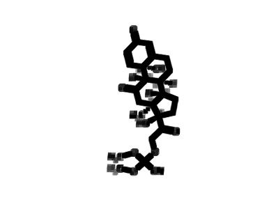 COC(O)(OC)OCC(=O)[C@@]1(O)CC[C@H]2[C@@H]3CCC4=CC(=O)C=C[C@]4(C)[C@H]3C(=O)C[C@@]21C